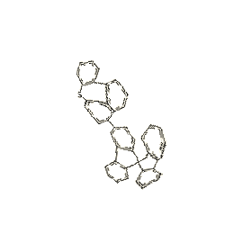 c1ccc2c(c1)Sc1ccc(-c3ccc4c(c3)-c3ccccc3C43c4ccccc4-c4ccccc43)c3cccc-2c13